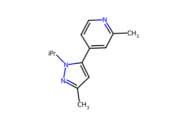 Cc1cc(-c2cc(C)nn2C(C)C)ccn1